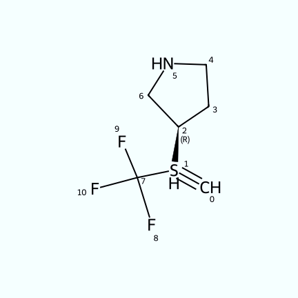 C#[SH]([C@@H]1CCNC1)C(F)(F)F